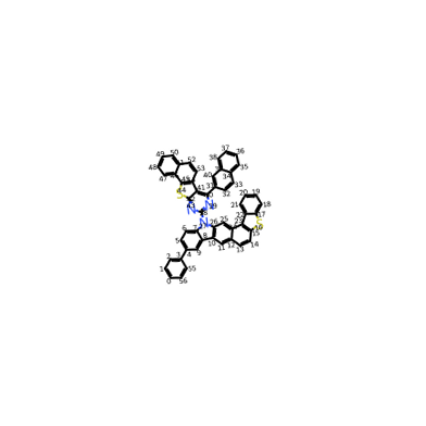 c1ccc(-c2ccc3c(c2)c2cc4ccc5sc6ccccc6c5c4cc2n3-c2nc(-c3ccc4ccccc4c3)c3c(n2)sc2c4ccccc4ccc23)cc1